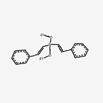 CCO[Si](C=Cc1ccccc1)(C=Cc1ccccc1)OCC